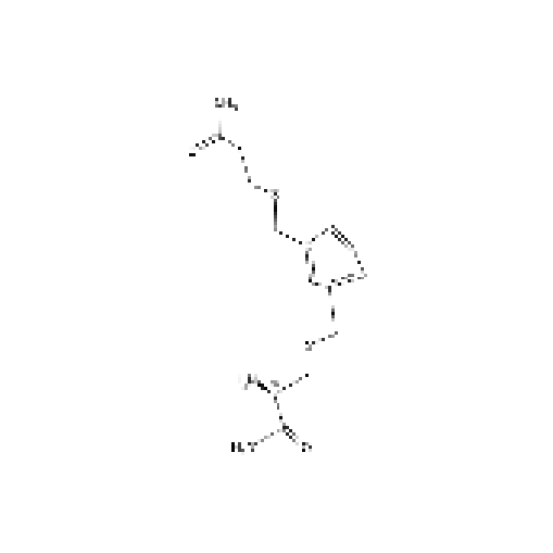 CC(=O)CCSCc1cccc(CSC[C@H](N)C(N)=O)c1